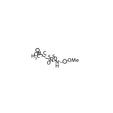 C=CC(/C=C1\SC(=S)N(CC(=O)NCCc2ccc(OC)cc2)C1=O)=C\C=C(/C)c1ccccc1Cl